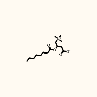 CCCCCC=CC(=O)OC(CC(=O)[O-])C[N+](C)(C)C